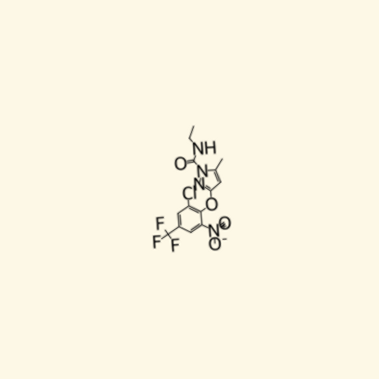 CCNC(=O)n1nc(Oc2c(Cl)cc(C(F)(F)F)cc2[N+](=O)[O-])cc1C